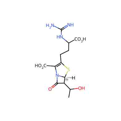 CC(O)C1C(=O)N2C(C(=O)O)=C(CCC(NC(=N)N)C(=O)O)S[C@@H]12